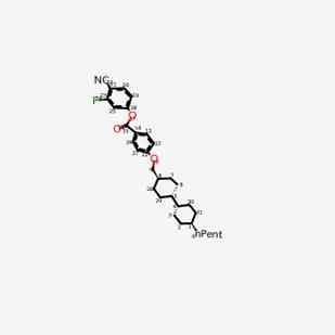 CCCCC[C@H]1CC[C@H]([C@H]2CC[C@H](COc3ccc(C(=O)Oc4ccc(C#N)c(F)c4)cc3)CC2)CC1